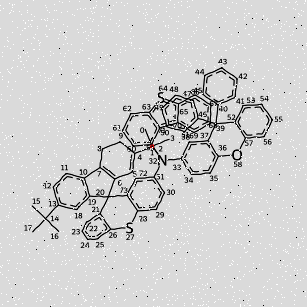 CC(C)(C)C1=CC2=C(CC1)c1ccc(C(C)(C)C)cc1C21c2ccccc2Sc2ccc(N(c3ccc4c(c3)C(c3ccccc3)(c3ccccc3)c3ccccc3O4)c3cccc4sc5ccccc5c34)cc21